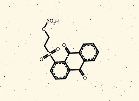 O=C1c2ccccc2C(=O)c2c1cccc2S(=O)(=O)CCOS(=O)(=O)O